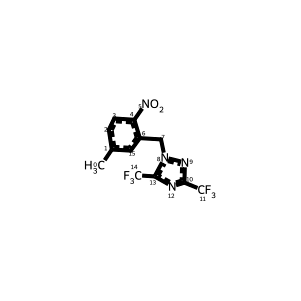 Cc1ccc([N+](=O)[O-])c(Cn2nc(C(F)(F)F)nc2C(F)(F)F)c1